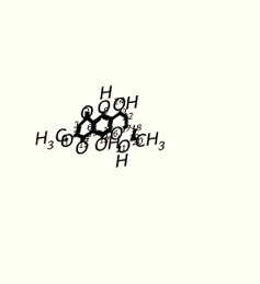 COC1=CC(=O)c2c(O)c3c(c(O)c2C1=O)O[C@@H](CC(C)O)C[C@@H]3O